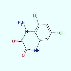 Nn1c(=O)c(=O)[nH]c2cc(Cl)cc(Cl)c21